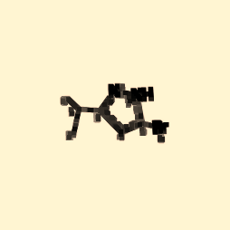 CC(C)c1cc(Br)[nH]n1